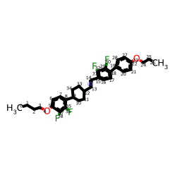 CCCCOc1ccc(C2CCC(/C=C/c3ccc(-c4ccc(OCCC)cc4)c(F)c3F)CC2)c(F)c1F